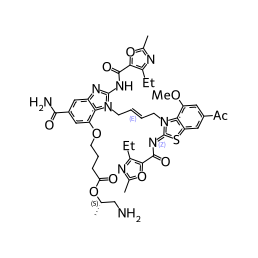 CCc1nc(C)oc1C(=O)/N=c1\sc2cc(C(C)=O)cc(OC)c2n1C/C=C/Cn1c(NC(=O)c2oc(C)nc2CC)nc2cc(C(N)=O)cc(OCCCC(=O)O[C@@H](C)CN)c21